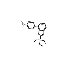 CC[Si](CC)(CC)c1cc2cccc(-c3ccc(OC)cc3)c2s1